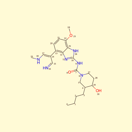 CCCCC1CN(C(=O)Nc2nc3c(/C(C=N)=C/NC)ccc(OC)c3[nH]2)CCC1O